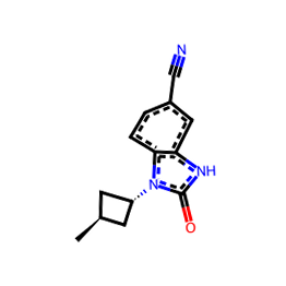 C[C@H]1C[C@H](n2c(=O)[nH]c3cc(C#N)ccc32)C1